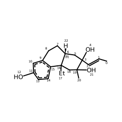 CC=CC1(O)C[C@H]2CCc3cc(O)ccc3C2(CC)CC1(C)O